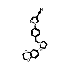 N#Cc1cnn(-c2ccc(CN3CCC[C@@H]3c3ccc4c(c3)OCCO4)cc2)c1